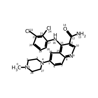 CN1CCN(c2ccc3ncc(C(N)=O)c(Nc4cccc(Cl)c4Cl)c3c2)CC1